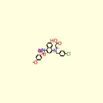 COc1ccc(S(=O)(=O)Nc2ccc(N(Cc3ccc(Cl)cc3)[C@@H](C)CC(=O)O)c3ccccc23)cc1